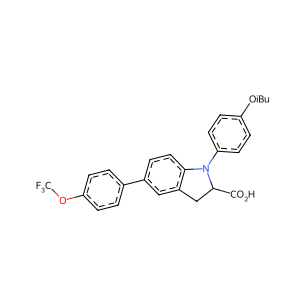 CC(C)COc1ccc(N2c3ccc(-c4ccc(OC(F)(F)F)cc4)cc3CC2C(=O)O)cc1